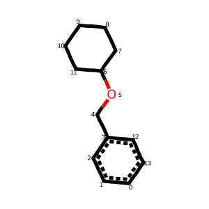 c1ccc(COC2CCCCC2)cc1